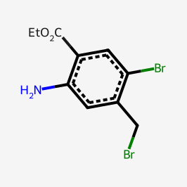 CCOC(=O)c1cc(Br)c(CBr)cc1N